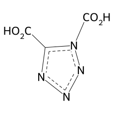 O=C(O)c1nnnn1C(=O)O